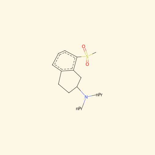 CCCN(CCC)C1CCc2cccc(S(C)(=O)=O)c2C1